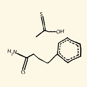 CC(O)=S.NC(=O)CCc1ccccc1